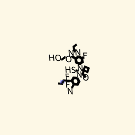 C/C=C/C(F)(F)c1cc(N2C(=O)C3(CCC3)N(c3cc(F)c4nc(CC)nc(OCCO)c4c3)C2S)ccc1C#N